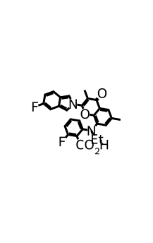 CCN(c1cccc(F)c1C(=O)O)c1cc(C)cc2c(=O)c(C)c(-n3cc4ccc(F)cc4c3)oc12